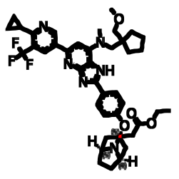 CCOC(=O)CCN1[C@@H]2CC[C@H]1C[C@H](Oc1ccc(-c3nc4nc(-c5cnc(C6CC6)c(C(F)(F)F)c5)cc(N(C)CC5(COC)CCCC5)c4[nH]3)cc1)C2